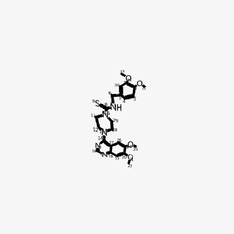 COc1ccc(CNC(=S)N2CCN(c3ncnc4cc(OC)c(OC)cc34)CC2)cc1OC